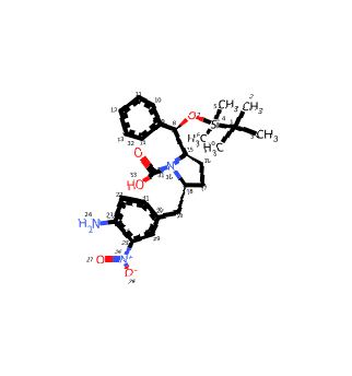 CC(C)(C)[Si](C)(C)O[C@H](c1ccccc1)[C@H]1CC[C@@H](Cc2ccc(N)c([N+](=O)[O-])c2)N1C(=O)O